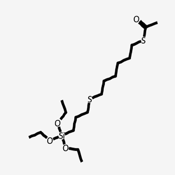 CCO[Si](CCCSCCCCCCSC(C)=O)(OCC)OCC